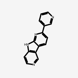 c1cncc(-c2ccc3c(n2)[nH]c2ccncc23)c1